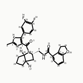 Cc1nc(C(=O)N2[C@H](CNC(=O)c3cccc4c3CCO4)C[C@@H]3CCC[C@@H]32)c(-c2ccc(F)c(F)c2)s1